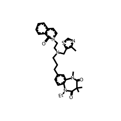 CCN1C(=O)C(C)(C)C(=O)N(C)c2cc(CCCN(CCn3ccc4ccccc4c3=O)Cc3scnc3C)ccc21